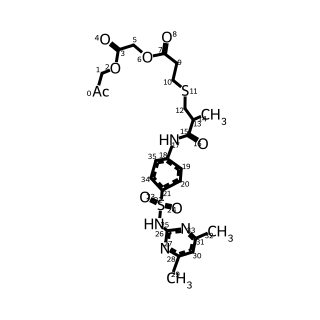 CC(=O)COC(=O)COC(=O)CCSCC(C)C(=O)Nc1ccc(S(=O)(=O)Nc2nc(C)cc(C)n2)cc1